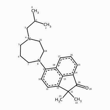 CC(C)CN1CCCN(c2ccc3c4c(cccc24)C(=O)C3(C)C)CC1